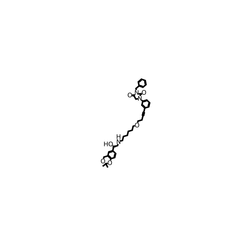 CC1(C)OCc2cc([C@@H](O)CNCCCCCCOCCC#Cc3cccc(N4CC(=O)N(Cc5ccccc5)C4=O)c3)ccc2O1